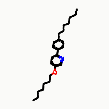 CCCCCCCOc1ccc(-c2ccc(CCCCCCC)cc2)nc1